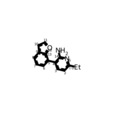 CCc1ccc(-c2cccc3ccoc23)c(N)n1